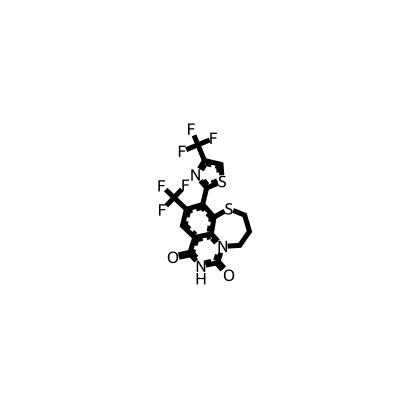 O=c1[nH]c(=O)n2c3c(c(-c4nc(C(F)(F)F)cs4)c(C(F)(F)F)cc13)SCCC2